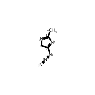 CC1=NCC(N=[N+]=[N-])=N1